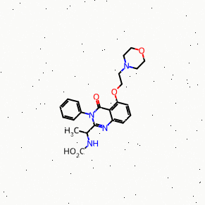 CC(NC(=O)O)c1nc2cccc(OCCN3CCOCC3)c2c(=O)n1-c1ccccc1